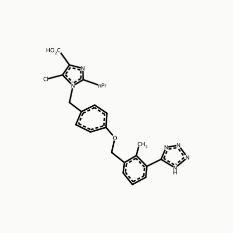 CCCc1nc(C(=O)O)c(Cl)n1Cc1ccc(OCc2cccc(-c3nnn[nH]3)c2C)cc1